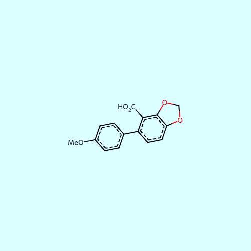 COc1ccc(-c2ccc3c(c2C(=O)O)OCO3)cc1